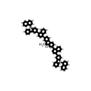 CC1(C)c2cc(-c3ccc(-c4ccc5c(c4)c4ccccc4n5-c4cccc5ccccc45)c4ccccc34)ccc2-c2ccc(-c3ccc(-c4ccc5c(c4)c4ccccc4n5-c4cccc5ccccc45)c4ccccc34)cc21